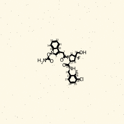 NC(=O)On1cc(CC(=O)N2C[C@@](F)(CO)C[C@H]2C(=O)NCc2cccc(Cl)c2F)c2ccccc21